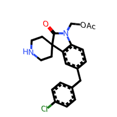 CC(=O)OCN1C(=O)C2(CCNCC2)c2cc(Cc3ccc(Cl)cc3)ccc21